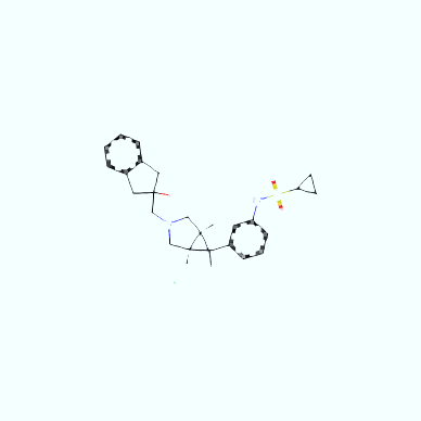 CCC1(c2cccc(NS(=O)(=O)C3CC3)c2)[C@@H]2CN(CC3(O)Cc4ccccc4C3)C[C@@H]21.Cl